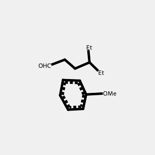 CCC(CC)CCC=O.COc1ccccc1